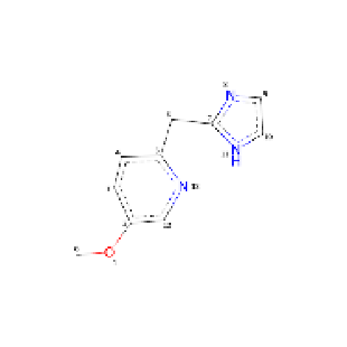 COc1ccc(Cc2ncc[nH]2)nc1